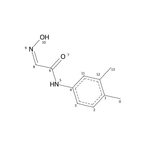 Cc1ccc(NC(=O)/C=N\O)cc1C